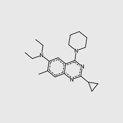 CCN(CC)c1cc2c(N3CCCCC3)nc(C3CC3)nc2cc1C